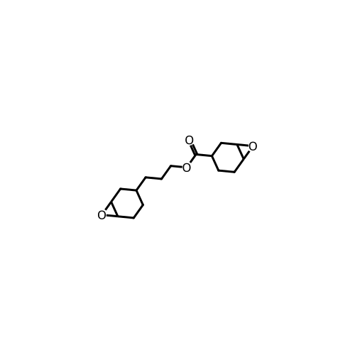 O=C(OCCCC1CCC2OC2C1)C1CCC2OC2C1